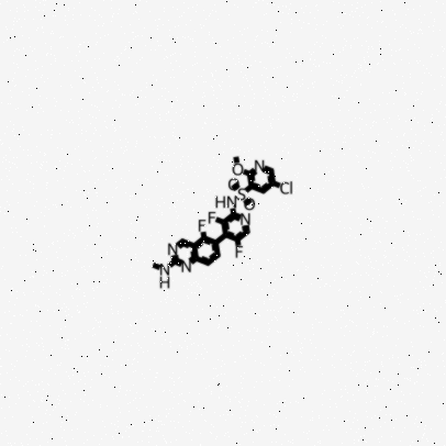 CNc1ncc2c(F)c(-c3c(F)cnc(NS(=O)(=O)c4cc(Cl)cnc4OC)c3F)ccc2n1